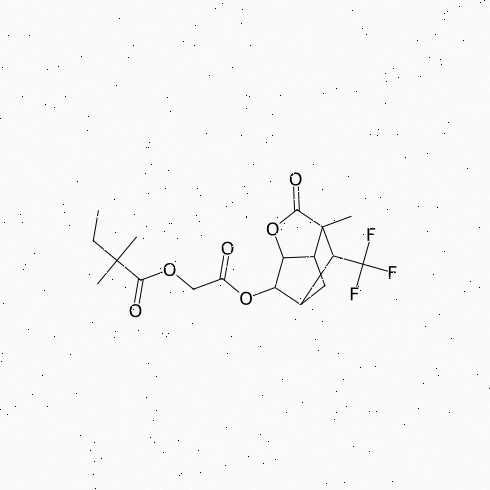 CCC(C)(C)C(=O)OCC(=O)OC1C2CC3C1OC(=O)C3(C)C2C(F)(F)F